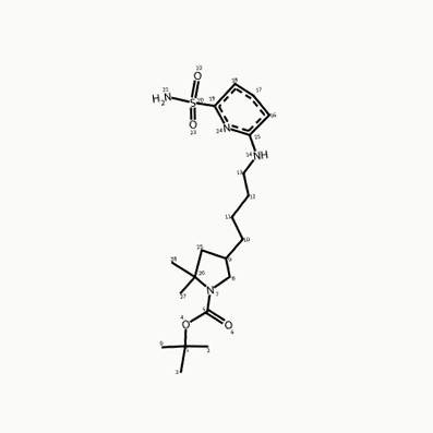 CC(C)(C)OC(=O)N1CC(CCCCNc2cccc(S(N)(=O)=O)n2)CC1(C)C